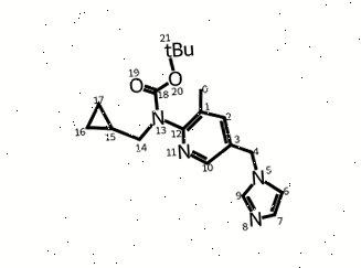 Cc1cc(Cn2ccnc2)cnc1N(CC1CC1)C(=O)OC(C)(C)C